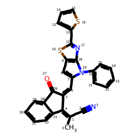 C/C(C#N)=C1/C(=C/c2cc3sc(-c4cccs4)nc3n2-c2ccccc2)C(=O)c2ccccc21